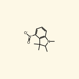 CC1N(C)c2cccc([N+](=O)[O-])c2C1(C)C